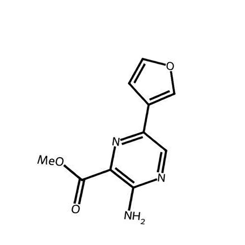 COC(=O)c1nc(-c2ccoc2)cnc1N